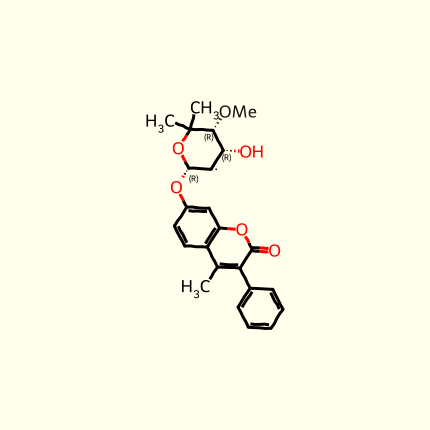 CO[C@@H]1[C@H](O)[CH][C@H](Oc2ccc3c(C)c(-c4ccccc4)c(=O)oc3c2)OC1(C)C